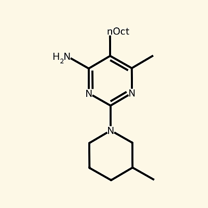 CCCCCCCCc1c(C)nc(N2CCCC(C)C2)nc1N